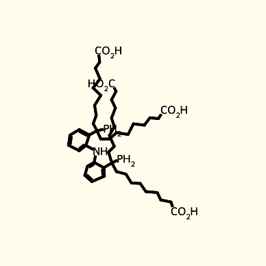 O=C(O)CCCCCCCCC(P)(CCCCCCCCC(=O)O)c1ccccc1Nc1ccccc1C(P)(CCCCCCCCC(=O)O)CCCCCCCCC(=O)O